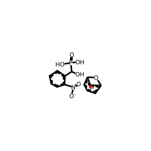 Clc1c2cccc1O2.O=[N+]([O-])c1ccccc1C(O)P(=O)(O)O